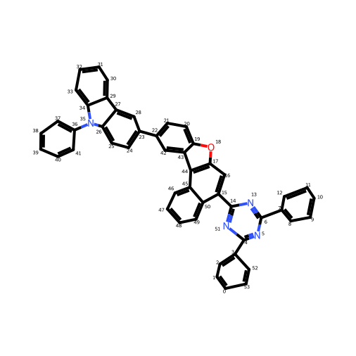 c1ccc(-c2nc(-c3ccccc3)nc(-c3cc4oc5ccc(-c6ccc7c(c6)c6ccccc6n7-c6ccccc6)cc5c4c4ccccc34)n2)cc1